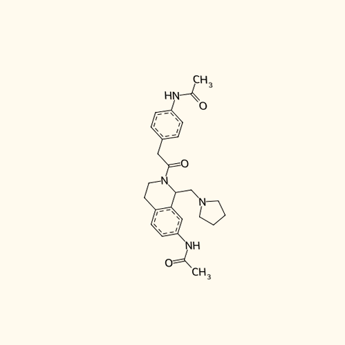 CC(=O)Nc1ccc(CC(=O)N2CCc3ccc(NC(C)=O)cc3C2CN2CCCC2)cc1